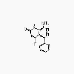 Cn1c(=O)cc(F)c2c(-c3ccccc3)nnc(N)c21